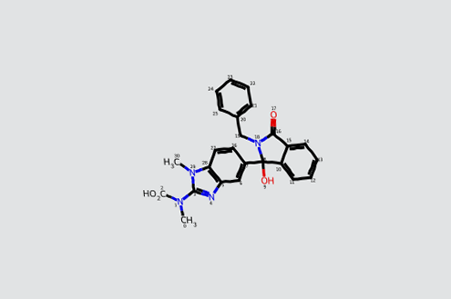 CN(C(=O)O)c1nc2cc(C3(O)c4ccccc4C(=O)N3Cc3ccccc3)ccc2n1C